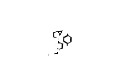 CC(C)C(=O)n1ccc(N2CC[C@H]3C[C@]32c2cc(F)ccc2F)n1